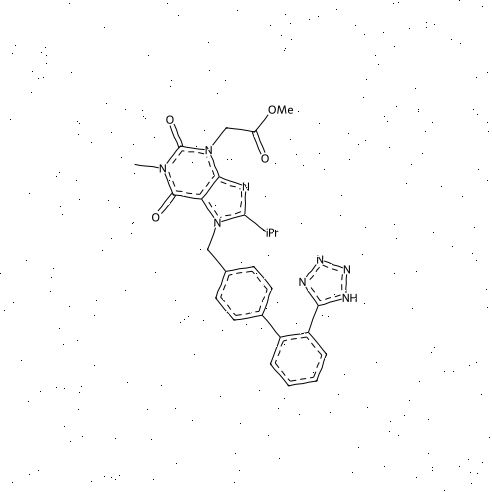 COC(=O)Cn1c(=O)n(C)c(=O)c2c1nc(C(C)C)n2Cc1ccc(-c2ccccc2-c2nnn[nH]2)cc1